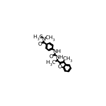 Cc1c(C(C)NC(=O)Nc2ccc(C(=O)N(C)C)cc2)oc2ccccc12